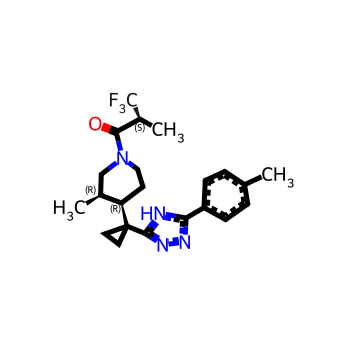 Cc1ccc(-c2nnc(C3([C@@H]4CCN(C(=O)[C@H](C)C(F)(F)F)C[C@@H]4C)CC3)[nH]2)cc1